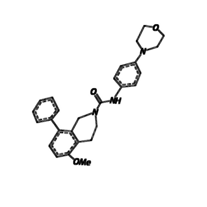 COc1ccc(-c2ccccc2)c2c1CCN(C(=O)Nc1ccc(N3CCOCC3)cc1)C2